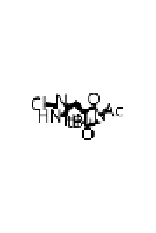 CC(=O)N1CC(=O)NC(=Cc2nc(Cl)[nH]c2C(C)(C)C)C1=O